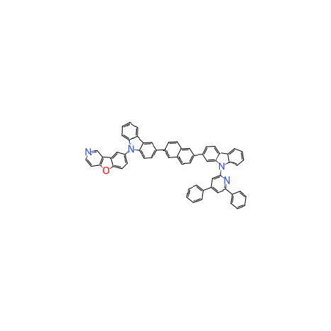 c1ccc(-c2cc(-c3ccccc3)nc(-n3c4ccccc4c4ccc(-c5ccc6cc(-c7ccc8c(c7)c7ccccc7n8-c7ccc8oc9ccncc9c8c7)ccc6c5)cc43)c2)cc1